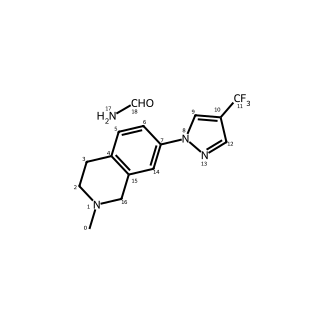 CN1CCc2ccc(-n3cc(C(F)(F)F)cn3)cc2C1.NC=O